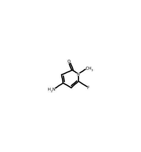 Cn1c(F)cc(N)cc1=O